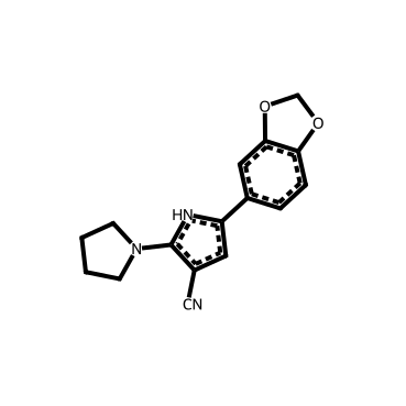 N#Cc1cc(-c2ccc3c(c2)OCO3)[nH]c1N1CCCC1